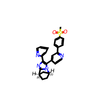 CS(=O)(=O)c1ccc(-c2cc(-c3c(-c4ccccn4)nc4n3[C@H]3CC[C@@H]4C3)ccn2)cc1